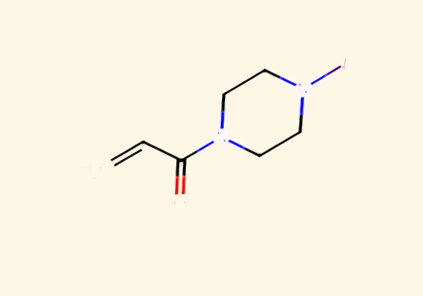 C=CC(=O)N1CCN(I)CC1